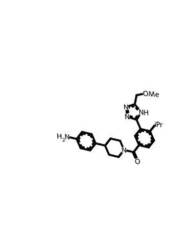 COCc1nnc(-c2cc(C(=O)N3CCC(c4ccc(N)cc4)CC3)ccc2C(C)C)[nH]1